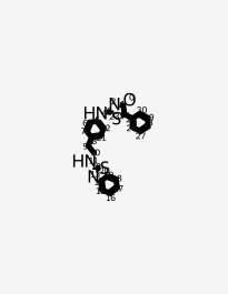 O=C1N=C(Nc2ccc(CCNc3nc4ccccc4s3)cc2)SC1c1ccccc1